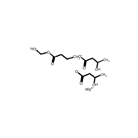 CC(O)CC(=O)[O-].CC(O)CC(=O)[O-].CCCC(=O)OCO.[Mg+2]